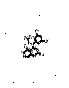 Fc1cc(Br)cc(N(CC(F)F)c2nc(Cl)nc3cncc(F)c23)c1